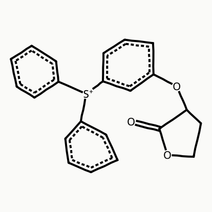 O=C1OCCC1Oc1cccc([S+](c2ccccc2)c2ccccc2)c1